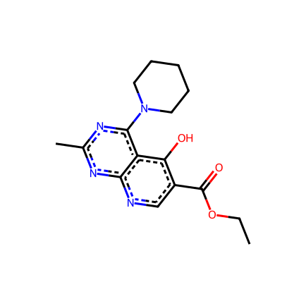 CCOC(=O)c1cnc2nc(C)nc(N3CCCCC3)c2c1O